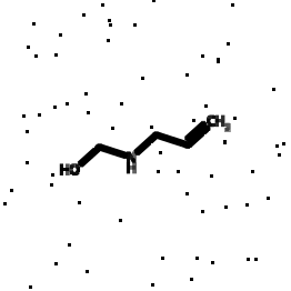 C=CCNCO